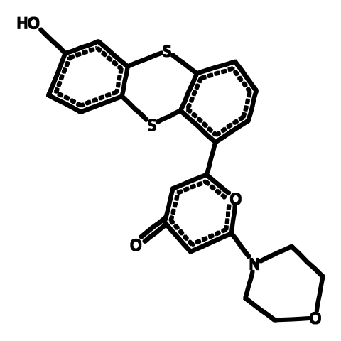 O=c1cc(-c2cccc3c2Sc2ccc(O)cc2S3)oc(N2CCOCC2)c1